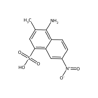 Cc1cc(S(=O)(=O)O)c2cc([N+](=O)[O-])ccc2c1N